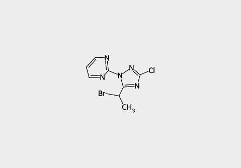 CC(Br)c1nc(Cl)nn1-c1ncccn1